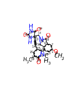 COc1ccc2c(c1)C(=O)N(C[C@@]1(C#Cc3cc(C)c(=O)n(C)c3)NC(=O)NC1=O)C2